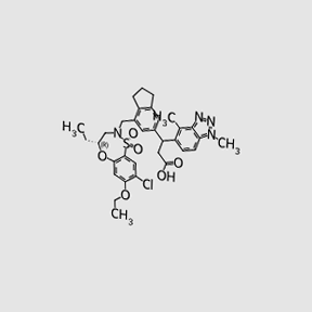 CCOc1cc2c(cc1Cl)S(=O)(=O)N(Cc1cc(C(CC(=O)O)c3ccc4c(nnn4C)c3C)cc3c1CCC3)C[C@@H](CC)O2